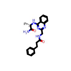 CC(C)[C@H](Nc1nc(CNC(=O)CCc2ccccc2)nc2ccccc12)C(N)=O